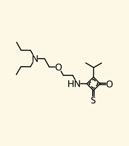 CCCN(CCC)CCOCCNc1c(C(C)C)c(=O)c1=S